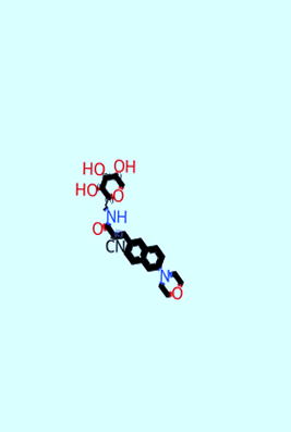 N#C/C(=C\c1ccc2cc(N3CCOCC3)ccc2c1)C(=O)NC[C@H]1OC[C@H](O)[C@@H](O)[C@@H]1O